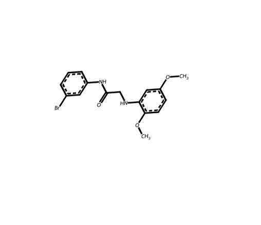 COc1ccc(OC)c(NCC(=O)Nc2cccc(Br)c2)c1